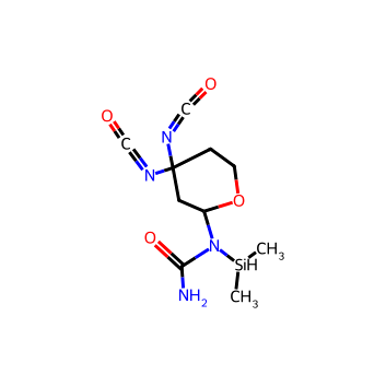 C[SiH](C)N(C(N)=O)C1CC(N=C=O)(N=C=O)CCO1